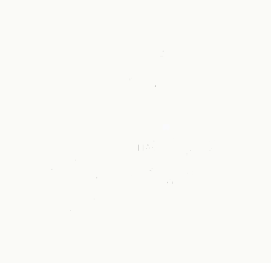 O=C(OCc1ccccc1)[AsH]/C(=C\CC(F)(F)F)C(=O)O